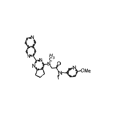 COc1ccc(N(I)C(=O)CN(C)c2nc(-c3cc4cnccc4cn3)nc3c2CCC3)cn1